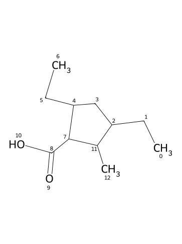 CCC1CC(CC)C(C(=O)O)C1C